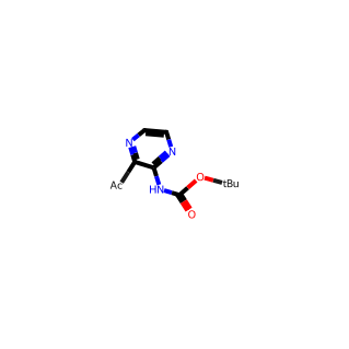 CC(=O)c1nccnc1NC(=O)OC(C)(C)C